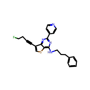 FCCC#Cc1csc2c(NCCCc3ccccc3)nc(-c3ccncc3)nc12